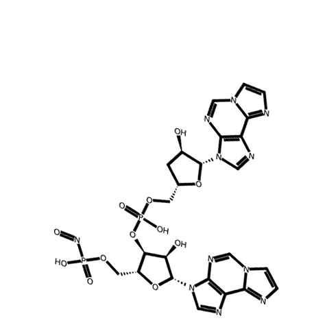 O=NP(=O)(O)OC[C@H]1O[C@@H](n2cnc3c2ncn2ccnc32)[C@H](O)[C@@H]1OP(=O)(O)OC[C@@H]1C[C@@H](O)[C@H](n2cnc3c2ncn2ccnc32)O1